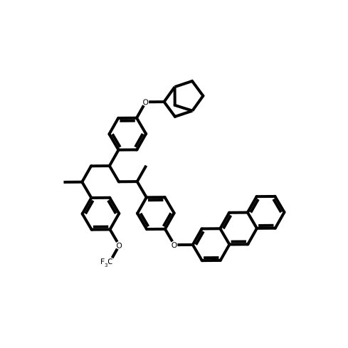 CC(CC(CC(C)c1ccc(OC(F)(F)F)cc1)c1ccc(OC2CC3CCC2C3)cc1)c1ccc(Oc2ccc3cc4ccccc4cc3c2)cc1